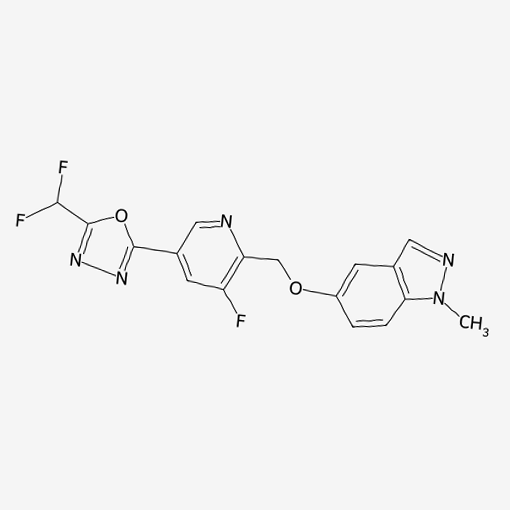 Cn1ncc2cc(OCc3ncc(-c4nnc(C(F)F)o4)cc3F)ccc21